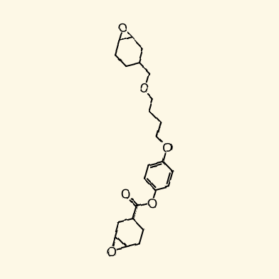 O=C(Oc1ccc(OCCCCOCC2CCC3OC3C2)cc1)C1CCC2OC2C1